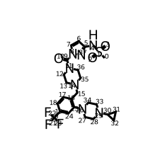 CS(=O)(=O)Nc1ccn(C(=O)N2CCN(Cc3ccc(C(F)(F)F)cc3N3CCN(C4CC4)CC3)CC2)n1